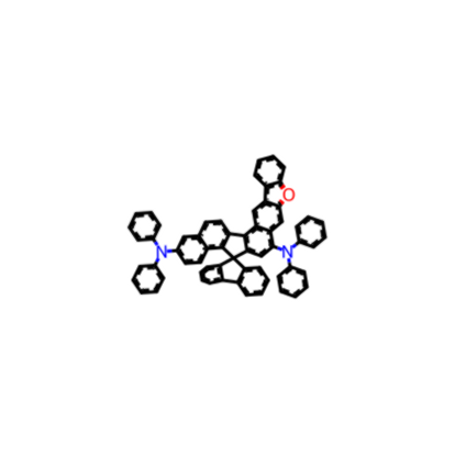 c1ccc(N(c2ccccc2)c2ccc3c4c(ccc3c2)-c2c(cc(N(c3ccccc3)c3ccccc3)c3cc5oc6ccccc6c5cc23)C42c3ccccc3-c3ccccc32)cc1